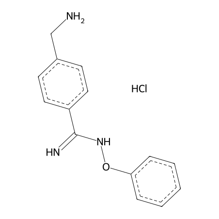 Cl.N=C(NOc1ccccc1)c1ccc(CN)cc1